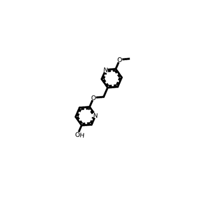 COc1ccc(COc2ccc(O)cn2)cn1